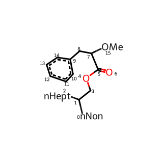 CCCCCCCCCC(CCCCCCC)COC(=O)C(Cc1ccccc1)OC